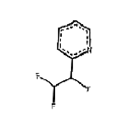 FC(F)C(F)c1ccccn1